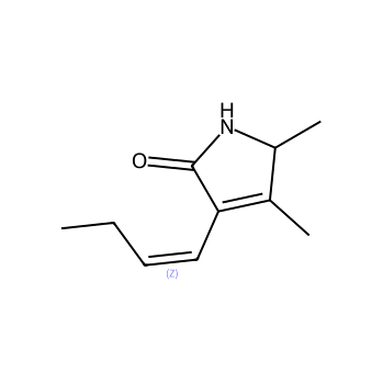 CC/C=C\C1=C(C)C(C)NC1=O